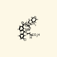 CN(C(=O)OC(C)(C)C)[C@H](CNC(=O)c1cccc([C@@H](OCCNC(=O)O)c2cccc(Cl)c2)c1)C[C@H]1CCCOC1